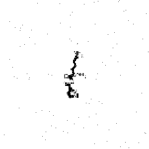 NCCCC[C@H](N)C(=O)OC(=O)c1cc[nH]n1